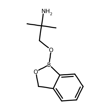 CC(C)(N)COB1OCc2ccccc21